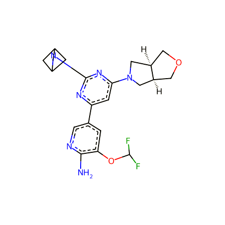 Nc1ncc(-c2cc(N3C[C@H]4COC[C@H]4C3)nc(N3CC4CC3C4)n2)cc1OC(F)F